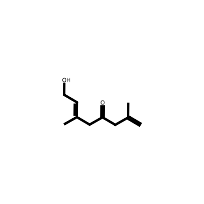 C=C(C)CC(=O)CC(C)=CCO